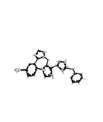 Cc1ccc2c(c1)-c1ncnn1Cc1c(-c3noc(Cc4ccccc4)n3)ncn1-2